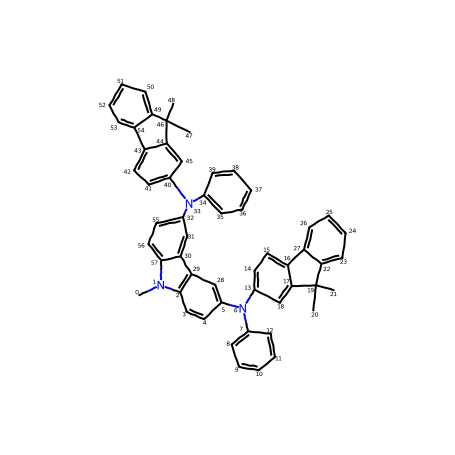 Cn1c2ccc(N(c3ccccc3)c3ccc4c(c3)C(C)(C)c3ccccc3-4)cc2c2cc(N(c3ccccc3)c3ccc4c(c3)C(C)(C)c3ccccc3-4)ccc21